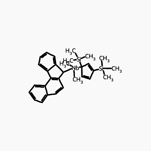 C[Si](C)(C)C1=C[C]([Si](C)(C)C)([Nb]([CH3])([CH3])[CH]2c3ccccc3-c3c2ccc2ccccc32)C=C1